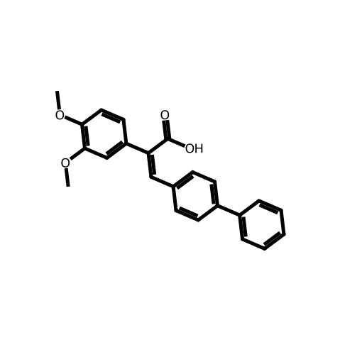 COc1ccc(C(=Cc2ccc(-c3ccccc3)cc2)C(=O)O)cc1OC